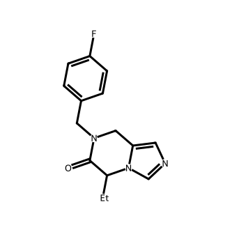 CCC1C(=O)N(Cc2ccc(F)cc2)Cc2cncn21